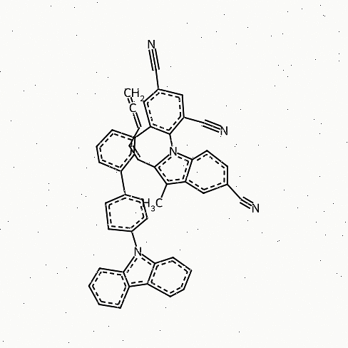 C=C=C/C=C\c1c(C)c2cc(C#N)ccc2n1-c1c(C#N)cc(C#N)cc1-c1cccc(-c2ccc(-n3c4ccccc4c4ccccc43)cc2)c1